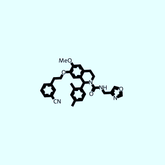 COc1cc2c(cc1OCCc1cccc(C#N)c1)C(c1ccc(C)cc1C)N(C(=O)NCc1cocn1)CC2